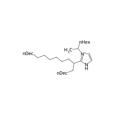 CCCCCCCCCCCCCCCCC(CCCCCCCCCCC)c1[nH]cc[n+]1C(C)CCCCCC